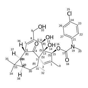 CC1=C[C@]23C(=O)[C@@H](C=C(CO)[C@@H](O)[C@]2(O)[C@H]1OC(=O)N(C)c1ccc(Cl)cc1)[C@H]1[C@@H](C[C@H]3C)C1(C)C